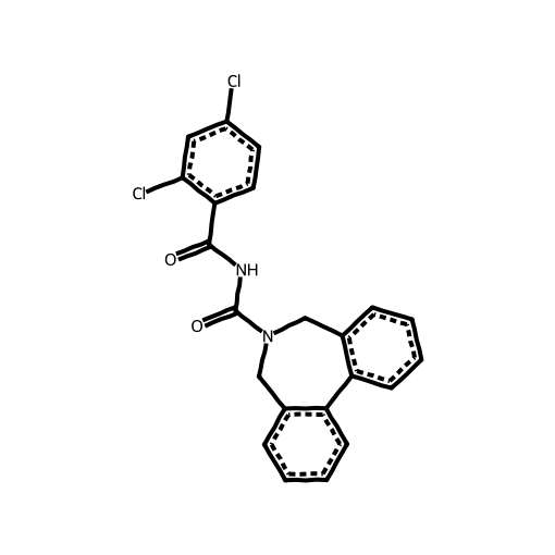 O=C(NC(=O)N1Cc2ccccc2-c2ccccc2C1)c1ccc(Cl)cc1Cl